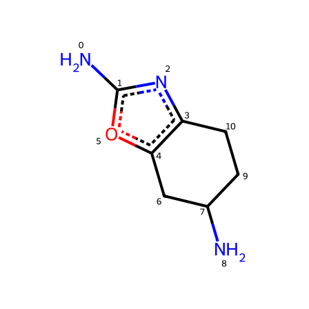 Nc1nc2c(o1)CC(N)CC2